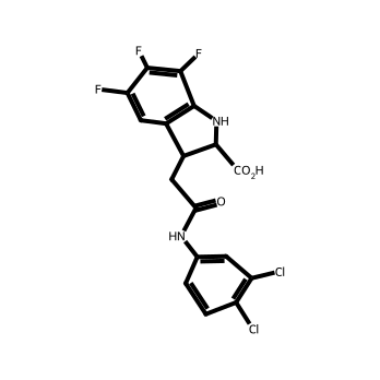 O=C(CC1c2cc(F)c(F)c(F)c2NC1C(=O)O)Nc1ccc(Cl)c(Cl)c1